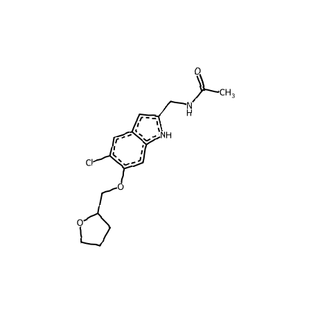 CC(=O)NCc1cc2cc(Cl)c(OCC3CCCO3)cc2[nH]1